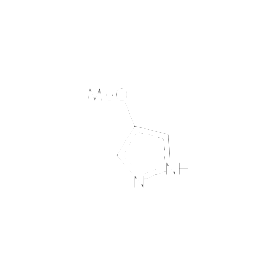 [CH]Oc1cn[nH]c1